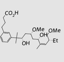 CC[C@H](/C=C(/C)[C@@H](O)C[C@H](C[C@H](O)C(C)(C)c1cccc(CCCC(=O)O)c1)OC)COC